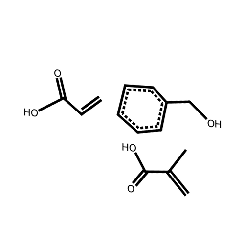 C=C(C)C(=O)O.C=CC(=O)O.OCc1ccccc1